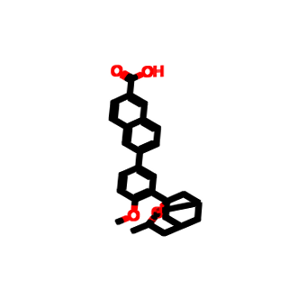 COc1ccc(-c2ccc3cc(C(=O)O)ccc3c2)cc1C12CC3CC(CC(C)(C3)O1)C2